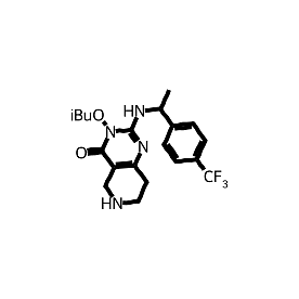 CC(C)COn1c(NC(C)c2ccc(C(F)(F)F)cc2)nc2c(c1=O)CNCC2